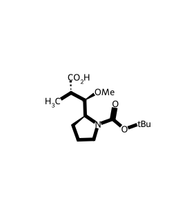 CO[C@H]([C@H](C)C(=O)O)[C@@H]1CCCN1C(=O)OC(C)(C)C